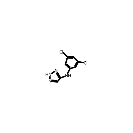 Clc1cc(Cl)cc(Nc2cn[nH]n2)c1